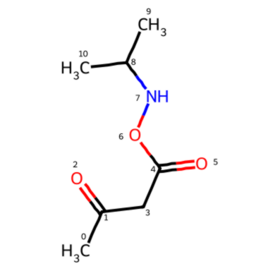 CC(=O)CC(=O)ONC(C)C